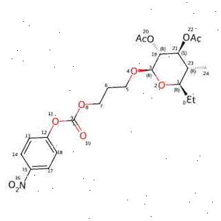 CC[C@H]1O[C@@H](OCCCOC(=O)Oc2ccc([N+](=O)[O-])cc2)[C@H](OC(C)=O)[C@@H](OC(C)=O)[C@@H]1C